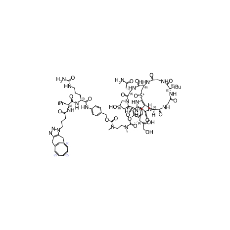 CC[C@H](C)[C@@H]1NC(=O)CNC(=O)[C@H]2Cc3c([nH]c4cc(OC(=O)N(C)CCN(C)C(=O)OCc5ccc(NC(=O)[C@H](CCCNC(N)=O)NC(=O)[C@@H](NC(=O)CCCn6nnc7c6C/C6=C/C=C\C=C/C(=C6)C7)C(C)C)cc5)ccc34)[S+]([O-])C[C@H](NC(=O)CNC1=O)C(=O)N[C@@H](CC(N)=O)C(=O)N1C[C@H](O)C[C@H]1C(=O)N[C@@H]([C@@H](C)[C@@H](O)CO)C(=O)N2